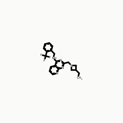 CCC1CN(Cc2nc(NCc3ccccc3C(F)(F)F)c3cccnc3n2)C1